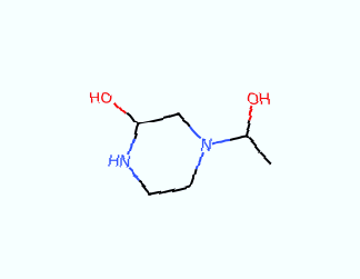 CC(O)N1CCNC(O)C1